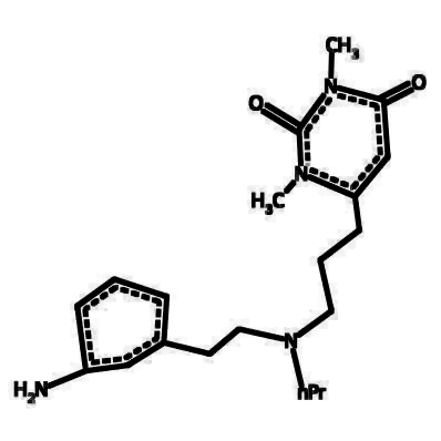 CCCN(CCCc1cc(=O)n(C)c(=O)n1C)CCc1cccc(N)c1